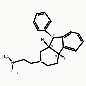 CN(C)CCN1CC[C@H]2c3ccccc3[C@H](c3ccccc3)[C@H]2C1